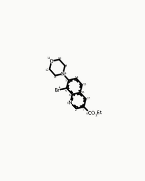 CCOC(=O)c1cnc2c(Br)c(N3CCOCC3)ccc2c1